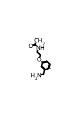 CC(=O)NCCOc1cc[c]c(CN)c1